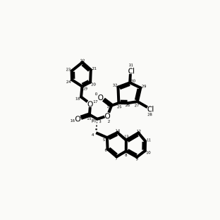 O=C(O[C@H](Cc1ccc2ccccc2c1)C(=O)OCc1ccccc1)c1cc(Cl)cc(Cl)c1